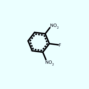 O=[N+]([O-])c1[c]ccc([N+](=O)[O-])c1F